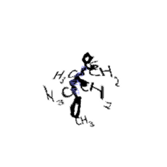 C=CC(=C\C=C(/C)c1ccc(C)cc1)/C(C)=C/C=c1\c(=C)sc2ccccc12